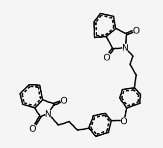 O=C1c2ccccc2C(=O)N1CCCc1ccc(Oc2ccc(CCCN3C(=O)c4ccccc4C3=O)cc2)cc1